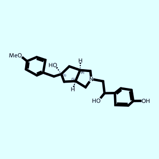 COc1ccc(C[C@@]2(O)C[C@H]3CN(CC(O)c4ccc(O)cc4)C[C@H]3C2)cc1